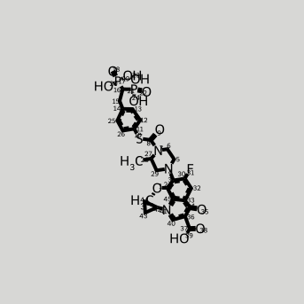 COc1c(N2CCN(C(=O)Sc3ccc(CC(P(=O)(O)O)P(=O)(O)O)cc3)C(C)C2)c(F)cc2c(=O)c(C(=O)O)cn(C3CC3)c12